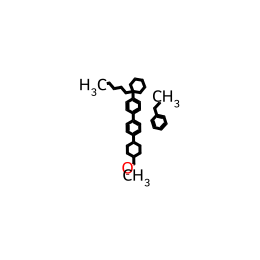 CCCCCC1(c2ccc(-c3ccc(C4CCC(COC)CC4)cc3)cc2)CCCCC1.CCCc1ccccc1